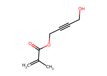 C=C(C)C(=O)OCC#CCO